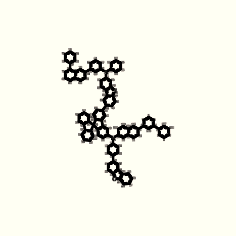 c1ccc(-c2cccc(-c3ccc4cc(N(c5ccc(-c6ccc7oc8ccccc8c7c6)cc5)c5ccc6c(c5)-c5cc(-c7ccc8sc9cc(N(c%10ccccc%10)c%10cccc(-c%11ccc%12cccc(-c%13ccccc%13)c%12c%11)c%10)ccc9c8c7)ccc5C65c6ccccc6-c6ccccc65)ccc4c3)c2)cc1